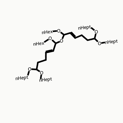 CCCCCCCOC(CCC=CC(OCCCCCC)OC(C=CCCC(OCCCCCCC)OCCCCCCC)OCCCCCC)OCCCCCCC